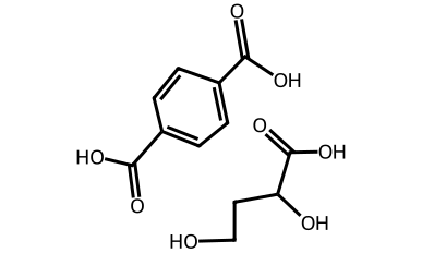 O=C(O)C(O)CCO.O=C(O)c1ccc(C(=O)O)cc1